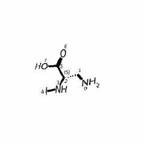 NC[C@H](NI)C(=O)O